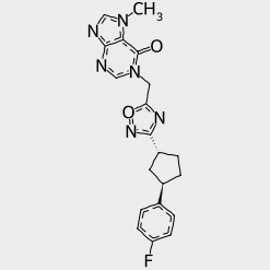 Cn1cnc2ncn(Cc3nc([C@@H]4CC[C@@H](c5ccc(F)cc5)C4)no3)c(=O)c21